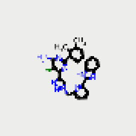 Cc1cccc(-c2nc(N)c(F)c(-c3cn(Cc4cccc(-c5nc6ccccc6[nH]5)n4)nn3)n2)c1C